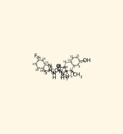 CN1CCC[C@@]2(C)c3cc(O)ccc3C[C@@H]1[C@H]2NC(=O)Nc1nc2cc(F)ccc2s1